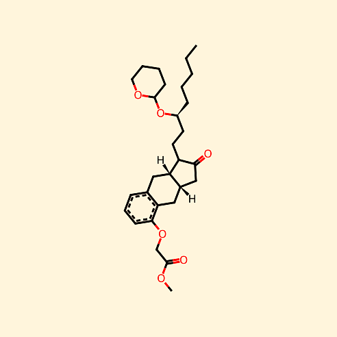 CCCCC[C@@H](CCC1C(=O)C[C@@H]2Cc3c(cccc3OCC(=O)OC)C[C@H]12)OC1CCCCO1